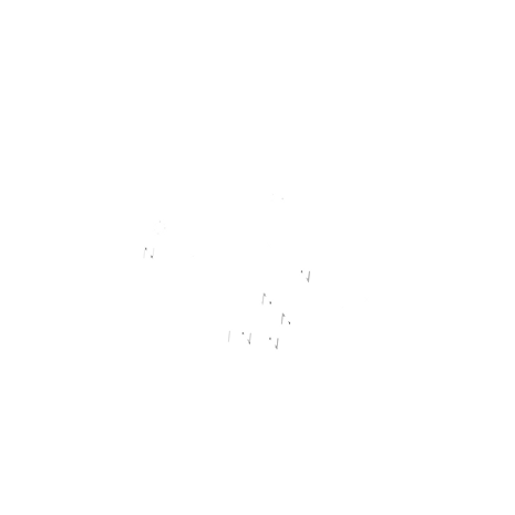 c1cc(OC2CCN(CC3CC3)CC2)cc(-c2onc3ccc(-c4nnn[nH]4)cc23)c1